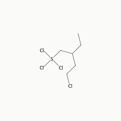 CCC(CCCl)CS(Cl)(Cl)Cl